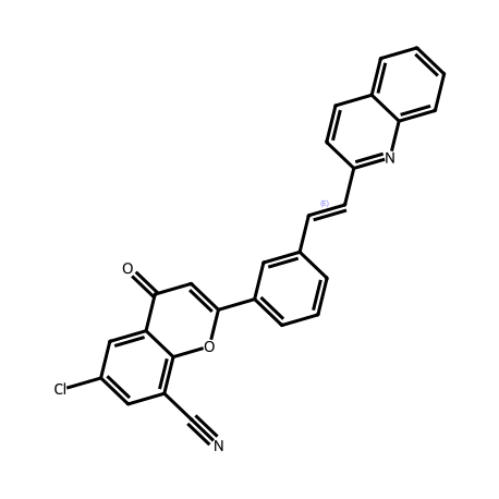 N#Cc1cc(Cl)cc2c(=O)cc(-c3cccc(/C=C/c4ccc5ccccc5n4)c3)oc12